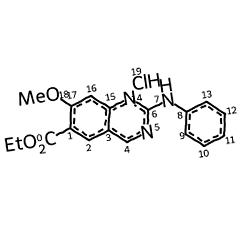 CCOC(=O)c1cc2cnc(Nc3ccccc3)nc2cc1OC.Cl